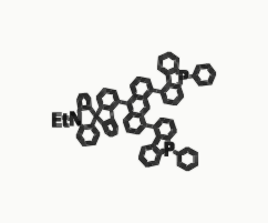 CCN1c2ccccc2C2(c3ccccc3-c3c(-c4c5cccc(-c6cccc7c6c6ccccc6p7-c6ccccc6)c5cc5c(-c6cccc7c6c6ccccc6p7-c6ccccc6)cccc45)cccc32)c2ccccc21